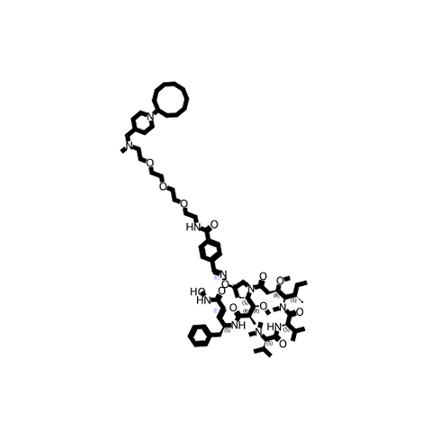 CC[C@H](C)[C@@H]([C@@H](CC(=O)N1C[C@H](O/N=C/c2ccc(C(=O)NCCOCCOCCOCCN(C)CC3CCN(C4CCCCCCCCC4)CC3)cc2)C[C@H]1[C@H](OC)[C@@H](C)C(=O)N[C@H](/C=C/C(=O)NO)Cc1ccccc1)OC)N(C)C(=O)[C@@H](NC(=O)[C@H](C(C)C)N(C)C)C(C)C